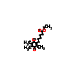 CCOC(=O)CCCCCC1=C(C)C(=O)C(C)=C(C)C1=O